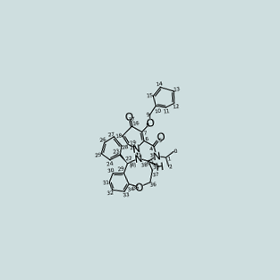 CC(C)N1C(=O)c2c(OCc3ccccc3)c(=O)ccn2N2[C@H](c3ccccc3)c3ccccc3OCC[C@@H]12